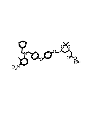 Cc1c(N(Cc2ccccc2)Cc2ccc(Oc3ccc(OC[C@@H]4C[C@H](CC(=O)OC(C)(C)C)OC(C)(C)O4)cc3)cc2)cccc1[N+](=O)[O-]